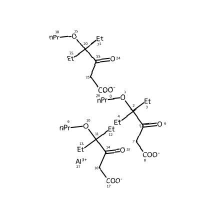 CCCOC(CC)(CC)C(=O)CC(=O)[O-].CCCOC(CC)(CC)C(=O)CC(=O)[O-].CCCOC(CC)(CC)C(=O)CC(=O)[O-].[Al+3]